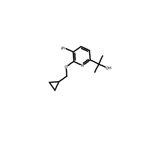 CC(C)c1ccc(C(C)(C)O)nc1OCC1CC1